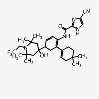 CC1(C)CC=C(C2=C(NC(=O)c3nc(C#N)c[nH]3)C=CC(C3(O)CC(C)(C)N(CC(F)(F)F)C(C)(C)C3)C2)CC1